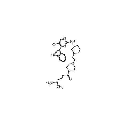 CN(C)C/C=C/C(=O)N1CCN(CCN2CCC[C@@H](Nc3ncc(Cl)c(-c4c[nH]c5ccccc45)n3)C2)CC1